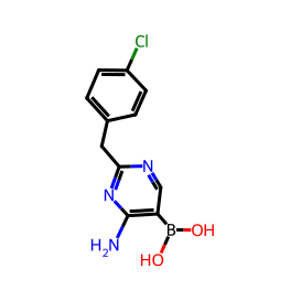 Nc1nc(Cc2ccc(Cl)cc2)ncc1B(O)O